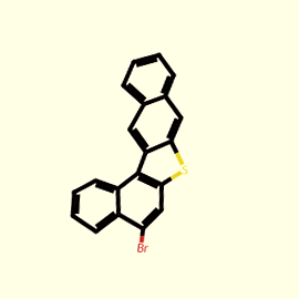 Brc1cc2sc3cc4ccccc4cc3c2c2ccccc12